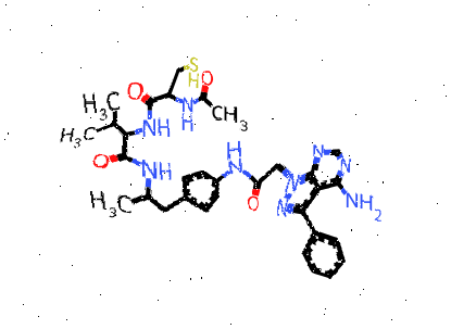 CC(=O)NC(CS)C(=O)NC(C(=O)NC(C)Cc1ccc(NC(=O)Cn2nc(-c3ccccc3)c3c(N)ncnc32)cc1)C(C)C